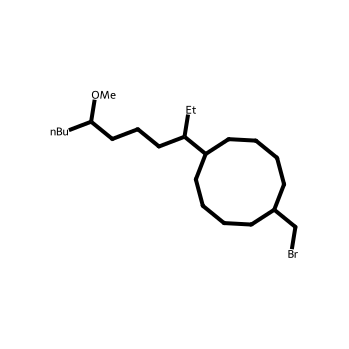 CCCCC(CCCC(CC)C1CCCCC(CBr)CCCC1)OC